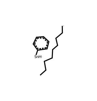 [CH2]CCCCCCCC.[SnH][c]1ccccc1